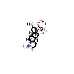 COC(C)[C@H]1C(C)C[C@H]2[C@@H]3CCC4N(C)C(=O)CC[C@]4(C)[C@H]3CC[C@]12C